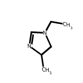 CCN1C=NC(C)C1